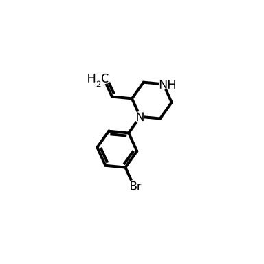 C=CC1CNCCN1c1cccc(Br)c1